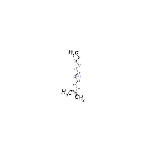 CCCCC/C=C/CCCC(C)C